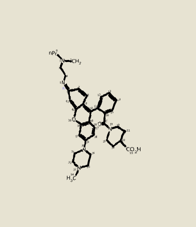 CCCN(C)CC/N=c1\ccc2c(-c3ccccc3C(=O)N3CCC(C(=O)O)CC3)c3ccc(N4CCN(C)CC4)cc3oc-2c1